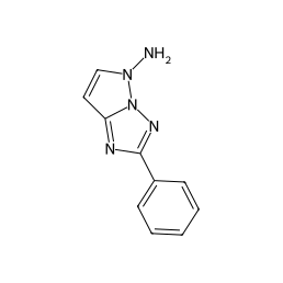 Nn1ccc2nc(-c3ccccc3)nn21